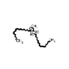 CCCCC/C=C\C/C=C\CCCCCCCC(=O)NC(CCC)NC(=O)CCCCCCC/C=C\C/C=C\CCCCC